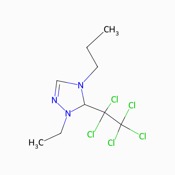 CCCN1C=NN(CC)C1C(Cl)(Cl)C(Cl)(Cl)Cl